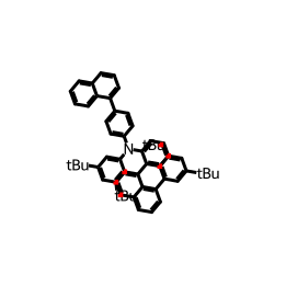 CC(C)(C)c1cc(-c2cccc3cccc(-c4ccccc4N(c4ccc(-c5cccc6ccccc56)cc4)c4cc(C(C)(C)C)cc(C(C)(C)C)c4)c23)cc(C(C)(C)C)c1